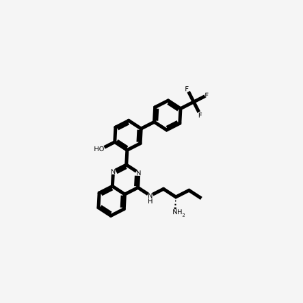 CC[C@H](N)CNc1nc(-c2cc(-c3ccc(C(F)(F)F)cc3)ccc2O)nc2ccccc12